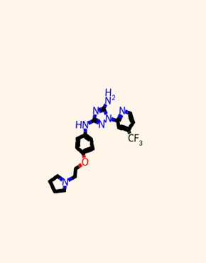 Nc1nc(Nc2ccc(OCCN3CCCC3)cc2)nn1-c1cc(C(F)(F)F)ccn1